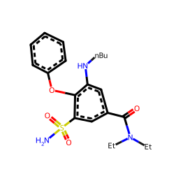 CCCCNc1cc(C(=O)N(CC)CC)cc(S(N)(=O)=O)c1Oc1ccccc1